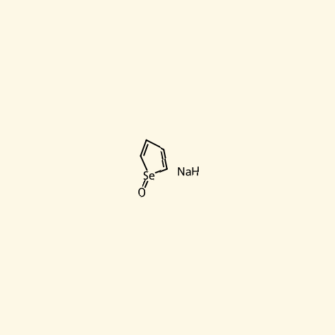 O=[Se]1C=CC=C1.[NaH]